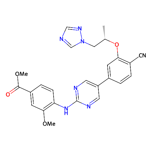 COC(=O)c1ccc(Nc2ncc(-c3ccc(C#N)c(O[C@@H](C)Cn4cncn4)c3)cn2)c(OC)c1